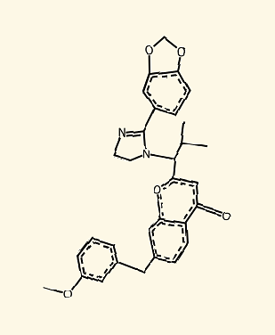 COc1cccc(Cc2ccc3c(=O)cc(C(C(C)C)N4CCN=C4c4ccc5c(c4)OCO5)oc3c2)c1